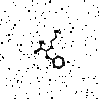 NCCOC(Oc1ccccc1)C(N)=O